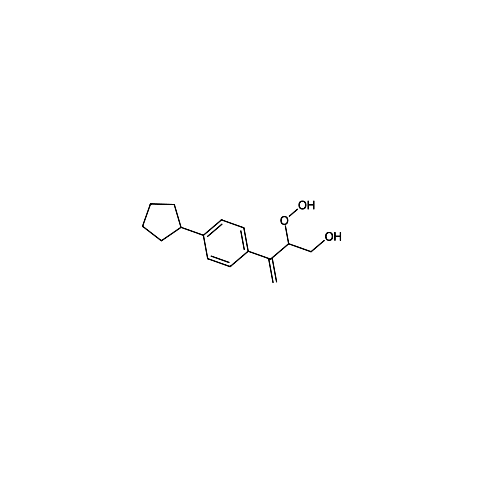 C=C(c1ccc(C2CCCC2)cc1)C(CO)OO